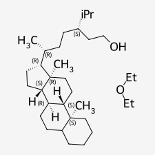 CC(C)[C@H](CCO)CC[C@@H](C)[C@H]1CC[C@H]2[C@@H]3CCC4CCCC[C@]4(C)[C@H]3CC[C@]12C.CCOCC